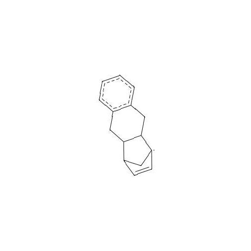 C1=CC2C[C]1C1Cc3ccccc3CC21